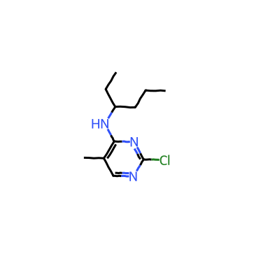 CCCC(CC)Nc1nc(Cl)ncc1C